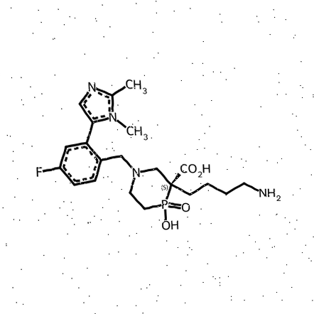 Cc1ncc(-c2cc(F)ccc2CN2CCP(=O)(O)[C@](CCCCN)(C(=O)O)C2)n1C